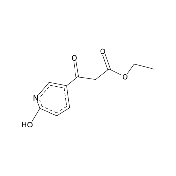 CCOC(=O)CC(=O)c1ccc(O)nc1